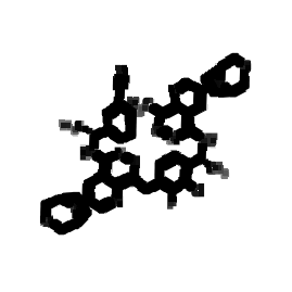 Cc1nnc(N[C@H](C)c2ccc(Cc3nnc(N[C@H](C)c4cccc(C#N)c4)c4cc(N5C6CCC5COC6)cnc34)c(F)c2Cl)c2cc(N3C4CCC3COC4)cnc12